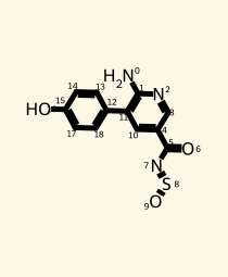 Nc1ncc(C(=O)N=S=O)cc1-c1ccc(O)cc1